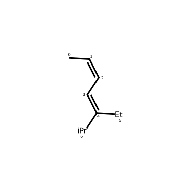 C/C=C\C=C(/CC)C(C)C